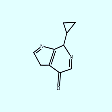 O=C1C=NC(C2CC2)C2=C1CC=N2